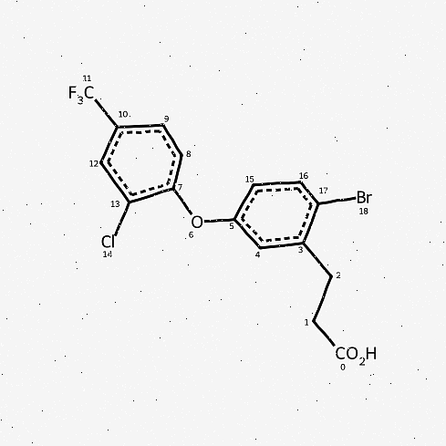 O=C(O)CCc1cc(Oc2ccc(C(F)(F)F)cc2Cl)ccc1Br